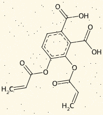 C=CC(=O)Oc1ccc(C(=O)O)c(C(=O)O)c1OC(=O)C=C